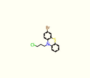 ClCCCN1c2ccccc2Sc2cc(Br)ccc21